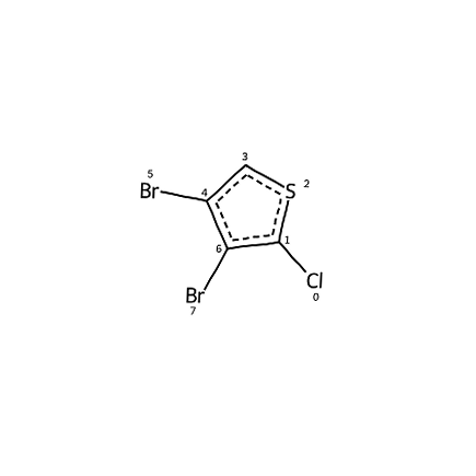 Clc1scc(Br)c1Br